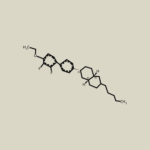 CCCCCC1CC[C@@H]2C[C@H](c3ccc(-c4ccc(OCC)c(F)c4F)cc3)CC[C@@H]2C1